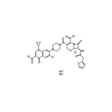 O=C(Cc1cccs1)N[C@@H]1C(=O)N2C(C(=O)[O-])=C(C(=O)N3CCN(c4cc5c(cc4F)c(=O)c(C(=O)[O-])cn5C4CC4)CC3)CS[C@H]12.[Na+].[Na+]